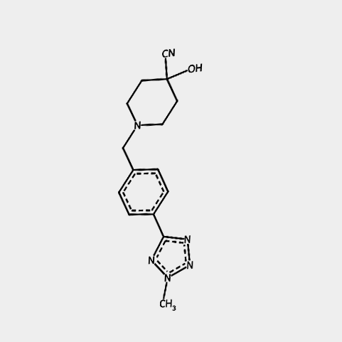 Cn1nnc(-c2ccc(CN3CCC(O)(C#N)CC3)cc2)n1